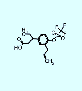 C=CCc1cc(C(CC)CC(=O)O)ccc1OS(=O)(=O)C(F)(F)F